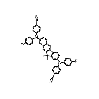 CC1(C)c2cc(N(c3ccc(F)cc3)c3ccc(C#N)cc3)ccc2-c2cc3ccc(N(c4ccc(F)cc4)c4ccc(C#N)cc4)cc3cc21